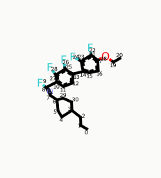 CCCC1CCC(/C=C(/F)c2ccc(-c3ccc(OCC)c(F)c3F)c(F)c2F)CC1